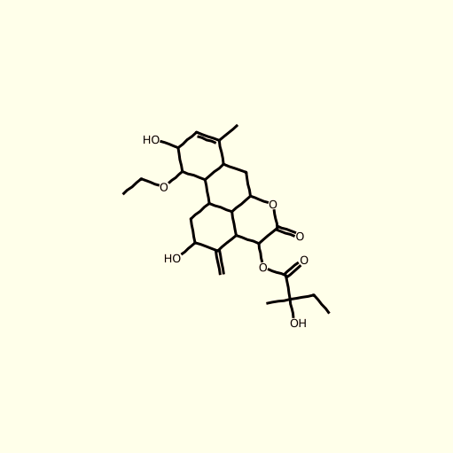 C=C1C(O)CC2C3C(CC4OC(=O)C(OC(=O)C(C)(O)CC)C1C42)C(C)=CC(O)C3OCC